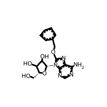 Nc1ncnc2c1nc(OCc1ccccc1)n2[C@@H]1O[C@H](CO)C(O)C1O